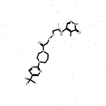 Cc1c(N[C@@H](C)COCCC(=O)N2CCCN(c3ncc(C(F)(F)F)cn3)CC2)cn[nH]c1=O